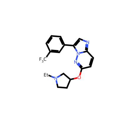 CCN1CCC(Oc2ccc3ncc(-c4cccc(C(F)(F)F)c4)n3n2)C1